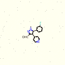 Cn1nc(C=O)c(-c2ccncc2)c1-c1cccc(F)c1